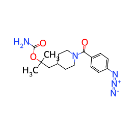 CC(C)(CC1CCN(C(=O)c2ccc(N=[N+]=[N-])cc2)CC1)OC(N)=O